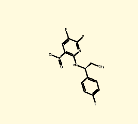 O=[N+]([O-])c1cc(F)c(F)nc1N[C@@H](CO)c1ccc(F)cc1